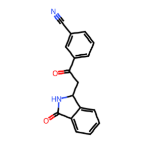 N#Cc1cccc(C(=O)CC2NC(=O)c3ccccc32)c1